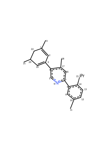 CC1=CC(c2cnc(-c3cc(C)ccc3C(C)C)cc2C)=CC(C)C1